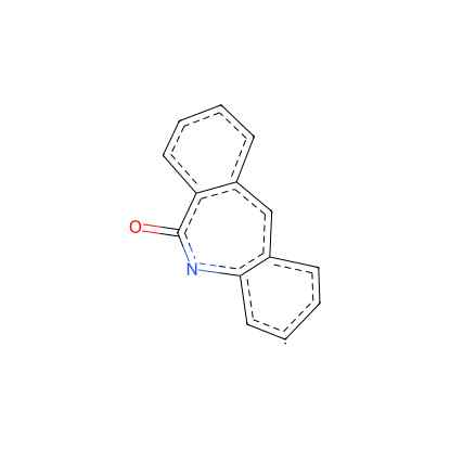 O=c1nc2c[c]ccc2cc2ccccc12